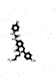 N#Cc1ccc(C2Cc3ccc(NC(=O)Nc4ccc(Br)cc4)cc3C(=O)N2CCCN)cc1